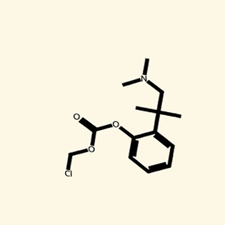 CN(C)CC(C)(C)c1ccccc1OC(=O)OCCl